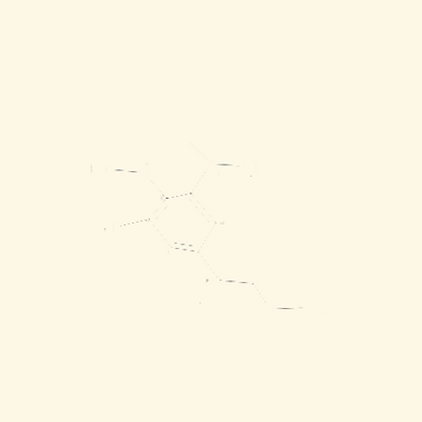 COC[C@H](C)c1cc(F)c(OC)c(B(O)O)c1